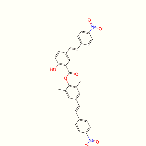 Cc1cc(C=Cc2ccc([N+](=O)[O-])cc2)cc(C)c1OC(=O)c1cc(C=Cc2ccc([N+](=O)[O-])cc2)ccc1O